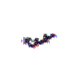 Cc1cc(Nc2nn([C@H]3CCCC[C@@H]3C#N)c3cc[nH]c(=O)c23)ccc1-n1cc(C(=O)OCn2ccc3c(c(Nc4ccc5nc(C(=O)OC(C)n6ccc7c(c(Nc8ccc(-c9noc(=O)[nH]9)cc8)nn7[C@H]7CCCC[C@@H]7C#N)c6=O)ccc5c4)nn3[C@H]3CCCC[C@@H]3C#N)c2=O)cn1